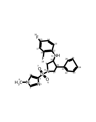 Cn1cnc(S(=O)(=O)N2CC(Nc3ccc(F)cc3F)C(c3ccccc3)C2)c1